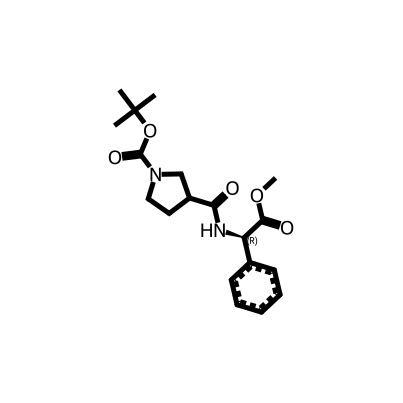 COC(=O)[C@H](NC(=O)C1CCN(C(=O)OC(C)(C)C)C1)c1ccccc1